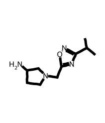 CC(C)c1noc(CN2CCC(N)C2)n1